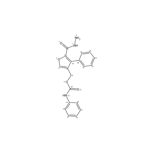 NNC(=O)c1occ(COC(=O)Nc2ccccc2)c1-c1ccccc1